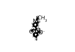 CSc1nc2ccc(CN(C=O)c3ccc(I)cc3[N+](=O)[O-])cc2s1